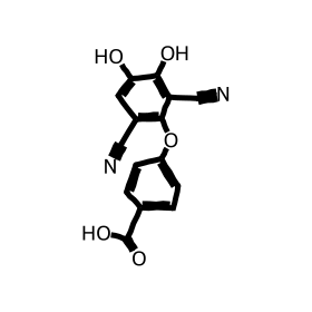 N#Cc1cc(O)c(O)c(C#N)c1Oc1ccc(C(=O)O)cc1